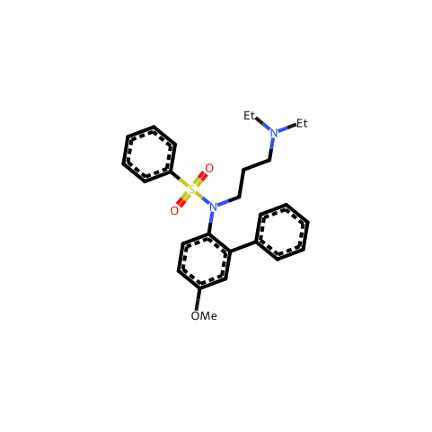 CCN(CC)CCCN(c1ccc(OC)cc1-c1ccccc1)S(=O)(=O)c1ccccc1